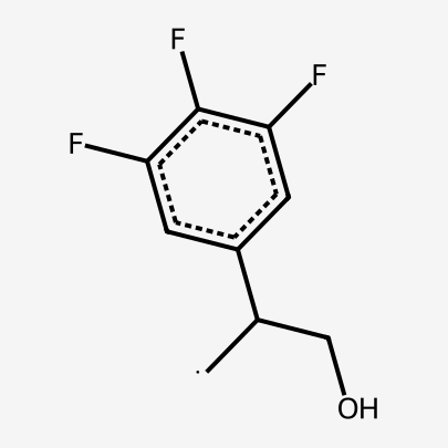 [CH2]C(CO)c1cc(F)c(F)c(F)c1